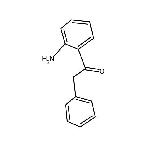 Nc1ccccc1C(=O)Cc1[c]cc[c]c1